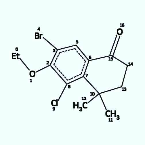 CCOc1c(Br)cc2c(c1Cl)C(C)(C)CCC2=O